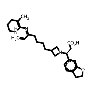 C=C/C(CCCCC1CN([C@@H](CC(=O)O)c2ccc3c(c2)OCC3)C1)=N\C1=C(C)CCCN1